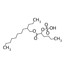 CCCCCCCCC(CCC)COC(=O)C(CCCC)OS(=O)(=O)O